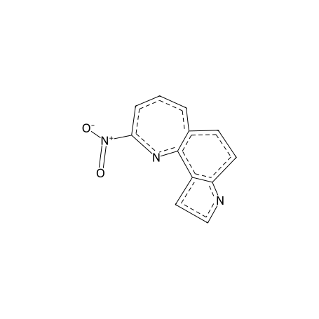 O=[N+]([O-])c1cccc2ccc3nccc3c2n1